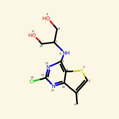 Cc1csc2c(NC(CO)CO)nc(Cl)nc12